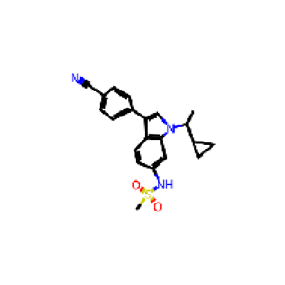 CC(C1CC1)n1cc(-c2ccc(C#N)cc2)c2ccc(NS(C)(=O)=O)cc21